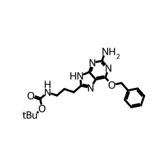 CC(C)(C)OC(=O)NCCCc1nc2c(OCc3ccccc3)nc(N)nc2[nH]1